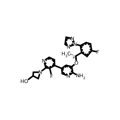 C[C@@H](Oc1cc(-c2ccnc(N3CC(O)C3)c2F)cnc1N)c1cc(F)ccc1-n1nccn1